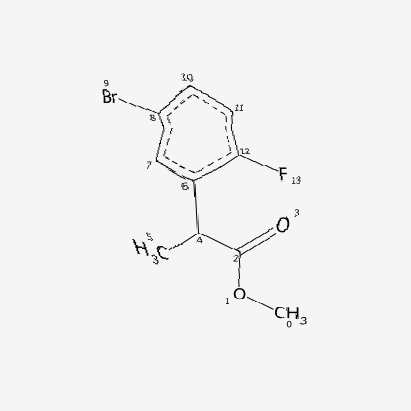 COC(=O)C(C)c1cc(Br)ccc1F